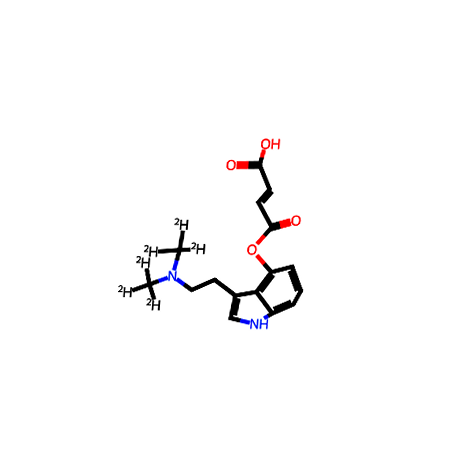 [2H]C([2H])([2H])N(CCc1c[nH]c2cccc(OC(=O)/C=C/C(=O)O)c12)C([2H])([2H])[2H]